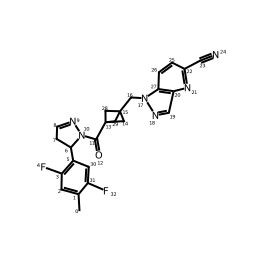 Cc1cc(F)c(C2CC=NN2C(=O)C23CC(Cn4ncc5nc(C#N)ccc54)(C2)C3)cc1F